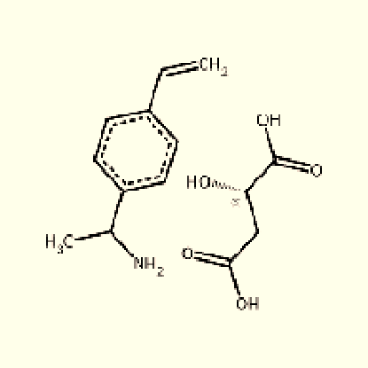 C=Cc1ccc(C(C)N)cc1.O=C(O)C[C@H](O)C(=O)O